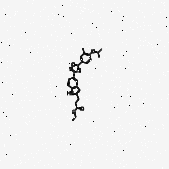 CCOC(=O)CCc1cc2cc(-c3noc(-c4ccc(OC(C)C)c(C)c4)n3)ccc2[nH]1